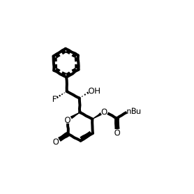 CCCCC(=O)O[C@H]1C=CC(=O)O[C@H]1[C@@H](O)[C@H](F)c1ccccc1